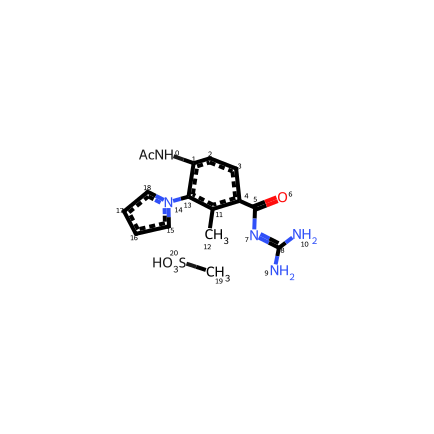 CC(=O)Nc1ccc(C(=O)N=C(N)N)c(C)c1-n1cccc1.CS(=O)(=O)O